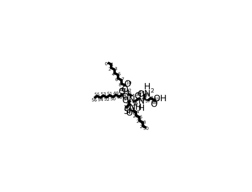 CCCCCCCCCC(=O)OC[C@@H](CN(C(=O)C(CS)NC(=O)CCCCCCC)[C@@H](C)C(=O)N[C@H](CCC(=O)O)C(N)=O)OC(=O)CCCCCCCCC